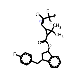 CC1(C)C(/C=C(/Cl)C(F)(F)F)C1C(=O)OC1CC(Cc2ccc(F)cc2)c2ccccc21